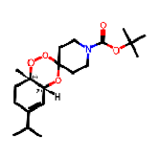 CC(C)C1=C[C@H]2OC3(CCN(C(=O)OC(C)(C)C)CC3)OO[C@@]2(C)CC1